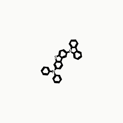 c1ccc(N(c2ccccc2)c2ccc3c(c2)sc2ccc(-n4c5ccccc5c5ccccc54)cc23)cc1